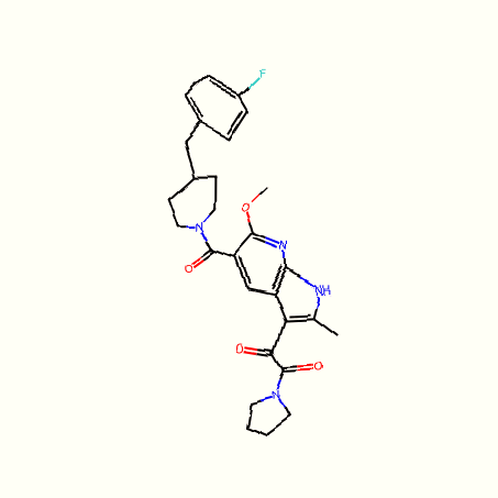 COc1nc2[nH]c(C)c(C(=O)C(=O)N3CCCC3)c2cc1C(=O)N1CCC(Cc2ccc(F)cc2)CC1